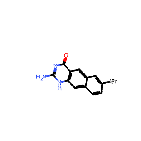 CC(C)c1ccc2cc3[nH]c(N)nc(=O)c3cc2c1